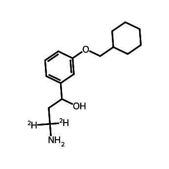 [2H]C([2H])(N)CC(O)c1cccc(OCC2CCCCC2)c1